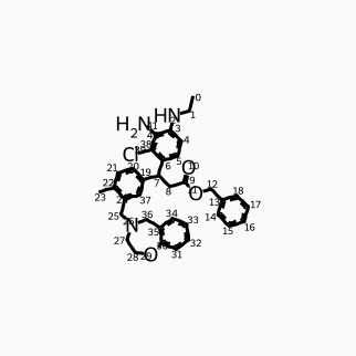 CCNc1ccc(C(CC(=O)OCc2ccccc2)c2ccc(C)c(CN3CCOc4ccccc4C3)c2)c(Cl)c1N